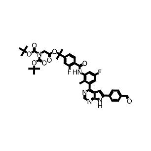 Cc1c(NC(=O)c2ccc(C(C)(C)OC(=O)CN(C(=O)OC(C)(C)C)C(=O)OC(C)(C)C)cc2F)cc(F)cc1-c1ncnc2[nH]c(-c3ccc(C=O)cc3)cc12